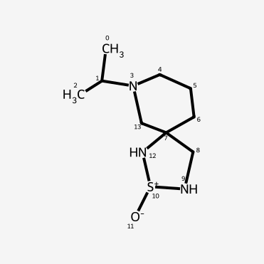 CC(C)N1CCCC2(CN[S+]([O-])N2)C1